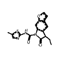 CCC1C(=O)N(C(=O)Nc2ncc(C)s2)c2cc3occc3cc21